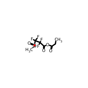 CCC(=O)OC(=O)C(F)(F)C(F)(F)S(C)(=O)=O